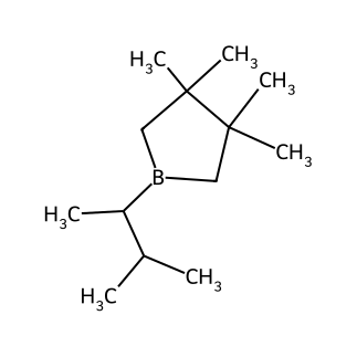 CC(C)C(C)B1CC(C)(C)C(C)(C)C1